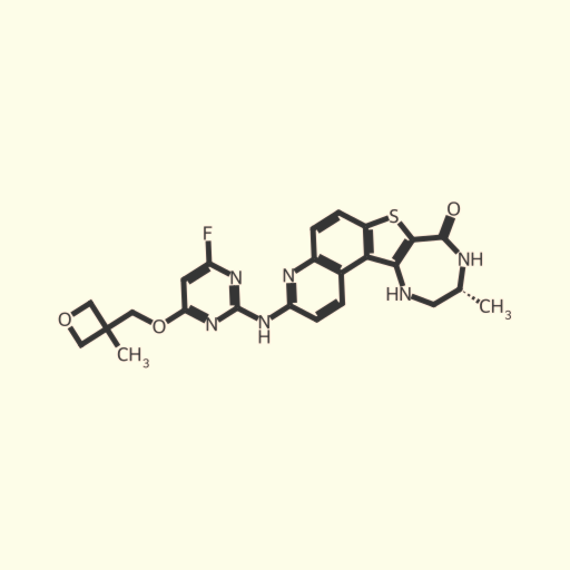 C[C@@H]1CNc2c(sc3ccc4nc(Nc5nc(F)cc(OCC6(C)COC6)n5)ccc4c23)C(=O)N1